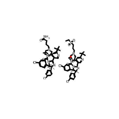 CCOc1cc(C(C)(C)C)ncc1C1=N[C@@](C)(c2ccc(Cl)cc2)[C@@](C)(c2ccc(Cl)cc2)N1C(=O)N1CCN(CCCC(N)=O)CC1.CCOc1cc(C(C)(C)C)ncc1C1=N[C@@](C)(c2ccc(Cl)cc2)[C@@](C)(c2ccc(Cl)cc2)N1C(=O)N1CCN(CCCS(=O)(=O)CC)CC1